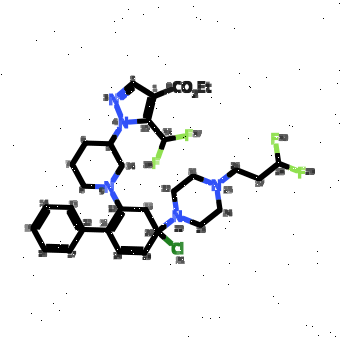 CCOC(=O)c1cnn(C2CCCN(C3=C(c4ccccc4)C=CC(Cl)(N4CCN(CCC(F)F)CC4)C3)C2)c1C(F)F